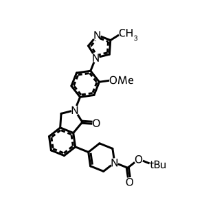 COc1cc(N2Cc3cccc(C4=CCN(C(=O)OC(C)(C)C)CC4)c3C2=O)ccc1-n1cnc(C)c1